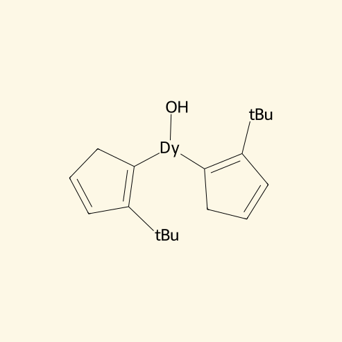 CC(C)(C)C1=[C]([Dy]([OH])[C]2=C(C(C)(C)C)C=CC2)CC=C1